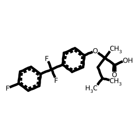 CC(C)CC(C)(Oc1ccc(C(F)(F)c2ccc(F)cc2)cc1)C(=O)O